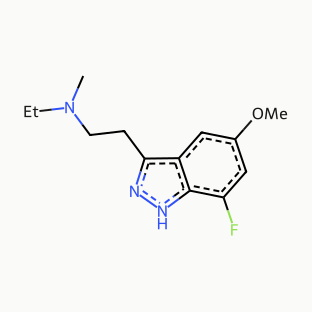 CCN(C)CCc1n[nH]c2c(F)cc(OC)cc12